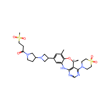 Cc1cc(C2CN(C3CCN(C(=O)CCS(C)(=O)=O)C3)C2)cc2c1O[C@@H](C)c1c(ncnc1N1CCS(=O)(=O)CC1)N2